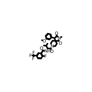 COc1cccc(C2C(=O)N(C)C(=O)C23CCN(C(=O)[C@H](NC(=O)c2cc(C(F)(F)F)ccc2F)C(C)C)CC3)c1